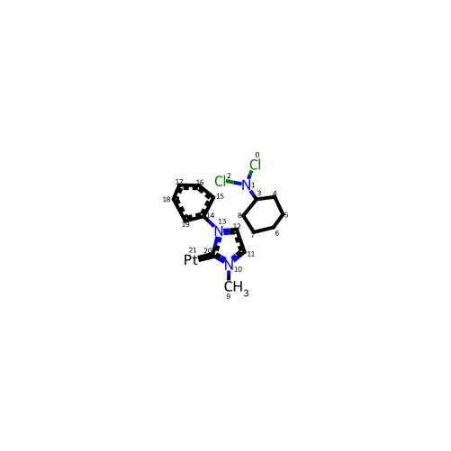 ClN(Cl)C1CCCCC1.Cn1ccn(-c2ccccc2)[c]1=[Pt]